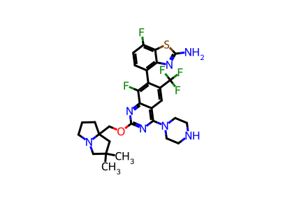 CC1(C)CN2CCCC2(COc2nc(N3CCNCC3)c3cc(C(F)(F)F)c(-c4ccc(F)c5sc(N)nc45)c(F)c3n2)C1